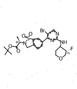 C[C@H](C(=O)OC(C)(C)C)N1Cc2ccc(-c3nc(NC4CCOC[C@H]4F)ncc3Br)cc2S1(=O)=O